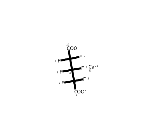 O=C([O-])C(F)(F)C(F)(F)C(F)(F)C(=O)[O-].[Ca+2]